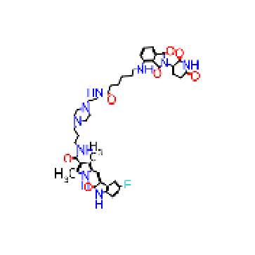 Cc1[nH]c(/C=C2\C(=O)Nc3ccc(F)cc32)c(C)c1C(=O)NCCCN1CCN(CCNC(=O)CCCCCNc2cccc3c2C(=O)N(C2CCC(=O)NC2=O)C3=O)CC1